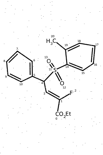 CCOC(=O)/C(F)=C/C(c1ccccc1)S(=O)(=O)c1ccccc1C